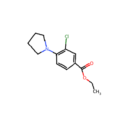 CCOC(=O)c1ccc(N2CCCC2)c(Cl)c1